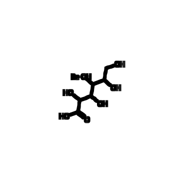 O=C(O)C(O)C(O)C(O)C(O)CO.[Re]